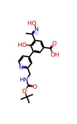 C/C(=N\O)c1cc(C(=O)O)cc(-c2ccnc(CNC(=O)OC(C)(C)C)c2)c1O